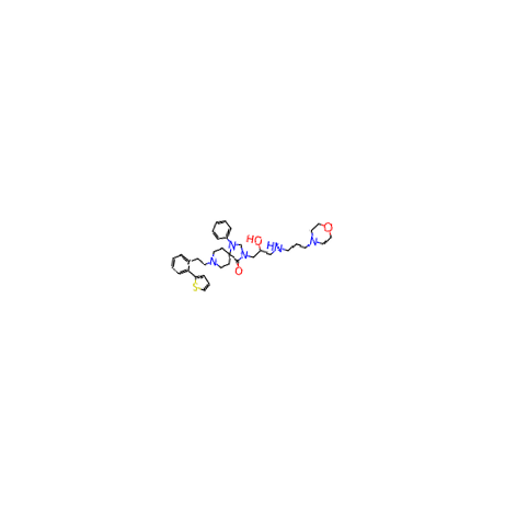 O=C1N(CC(O)CNCCCN2CCOCC2)CN(c2ccccc2)C12CCN(CCc1ccccc1-c1cccs1)CC2